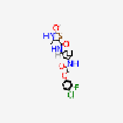 COC1NC(C)C(C(=O)N[C@@H]2CC(NC(=O)COc3ccc(Cl)c(F)c3)C3CC2C3)S1